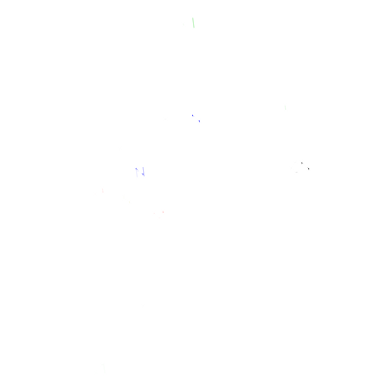 N#Cc1ccc(N(Cc2ccccc2Cl)[C@H]2CCN(S(=O)(=O)CCc3ccc(Cl)cc3)C2)cc1Cl